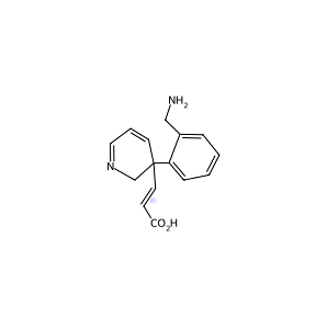 NCc1ccccc1C1(/C=C/C(=O)O)C=CC=NC1